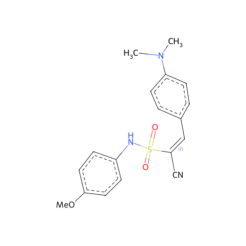 COc1ccc(NS(=O)(=O)/C(C#N)=C\c2ccc(N(C)C)cc2)cc1